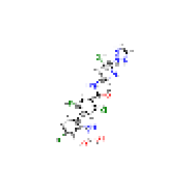 O=C(O)Nc1cc(F)ccc1-c1cc(Cl)c(C(=O)Nc2cnc(-n3nccn3)c(Cl)c2)cc1F